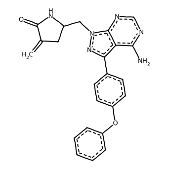 C=C1CC(Cn2nc(-c3ccc(Oc4ccccc4)cc3)c3c(N)ncnc32)NC1=O